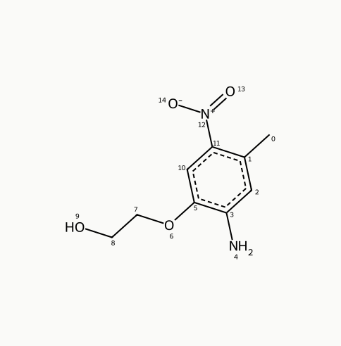 Cc1cc(N)c(OCCO)cc1[N+](=O)[O-]